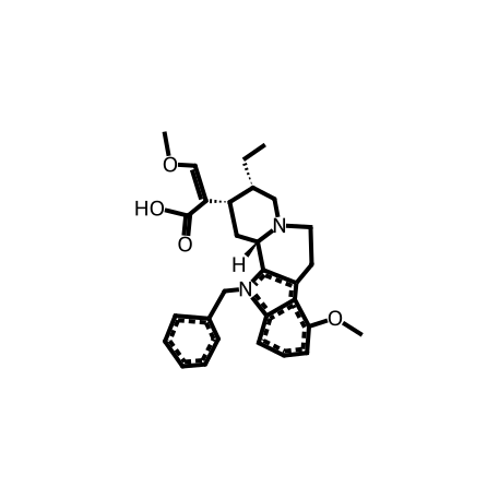 CC[C@@H]1CN2CCc3c(n(Cc4ccccc4)c4cccc(OC)c34)[C@@H]2C[C@@H]1C(=COC)C(=O)O